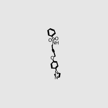 O=S(=O)(NCC#CCOc1ccc(-n2ccnc2)cc1)c1ccccc1